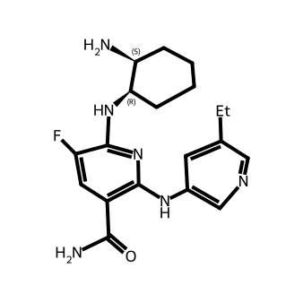 CCc1cncc(Nc2nc(N[C@@H]3CCCC[C@@H]3N)c(F)cc2C(N)=O)c1